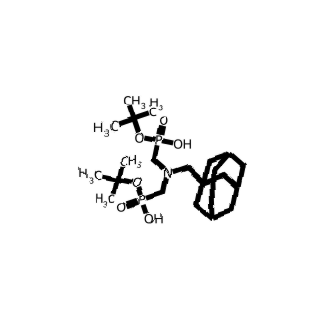 CC(C)(C)OP(=O)(O)CN(CC12CC3CC(CC(C3)C1)C2)CP(=O)(O)OC(C)(C)C